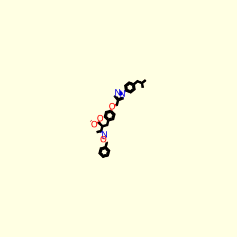 COC(=O)C(Cc1ccc(OCc2cnn(-c3ccc(CC(C)C)cc3)c2)cc1)C(C)=NOCc1ccccc1